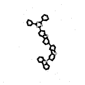 c1ccc(-c2nc(-c3ccccc3)nc(-c3ccc4c(c3)sc3cc(-c5ccc6oc7ccc(-n8c9ccccc9c9ccccc98)cc7c6c5)ccc34)n2)cc1